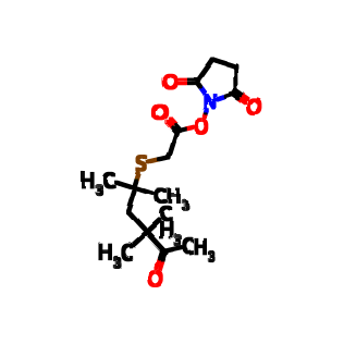 CC(=O)C(C)(C)CC(C)(C)SCC(=O)ON1C(=O)CCC1=O